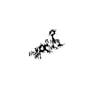 Cc1nc(NC(=O)c2ccc(NS(=O)(=O)C(C)C)cc2C)nc(-c2ccccn2)n1